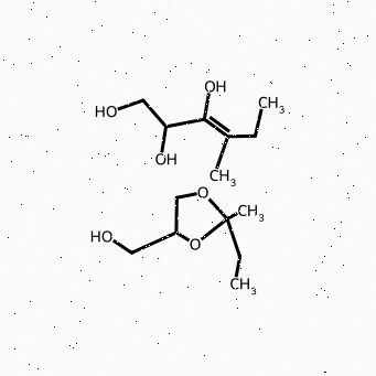 CCC(C)=C(O)C(O)CO.CCC1(C)OCC(CO)O1